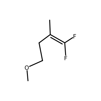 COCCC(C)=C(F)F